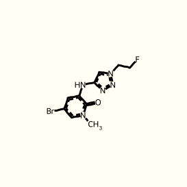 Cn1cc(Br)cc(Nc2cn(CCF)nn2)c1=O